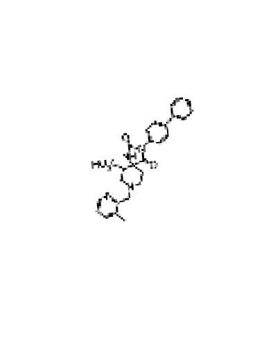 Cc1cccnc1CN1CCC2(NC(=O)N(c3ccc(-c4ccccc4)cc3)C2=O)C(C(=O)O)C1